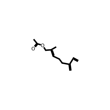 C=CC(=C)CC/C=C(\C)COC(C)=O